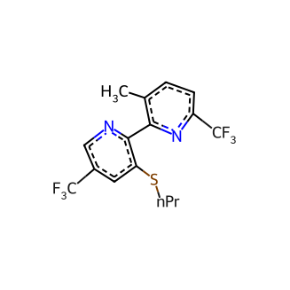 CCCSc1cc(C(F)(F)F)cnc1-c1nc(C(F)(F)F)ccc1C